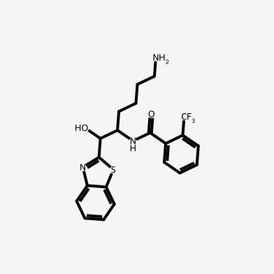 NCCCCC(NC(=O)c1ccccc1C(F)(F)F)C(O)c1nc2ccccc2s1